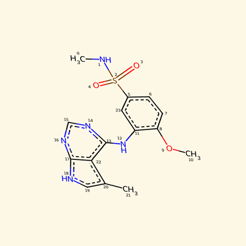 CNS(=O)(=O)c1ccc(OC)c(Nc2ncnc3[nH]cc(C)c23)c1